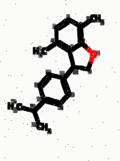 Cc1ccc(C)c2c1OCC2c1ccc(C(C)C)cc1